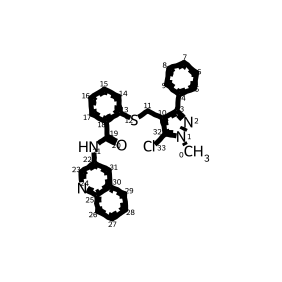 Cn1nc(-c2ccccc2)c(CSc2ccccc2C(=O)Nc2cnc3ccccc3c2)c1Cl